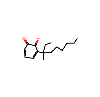 CCCCCCC(C)(CC)C1=CC=CC(=O)C1=O